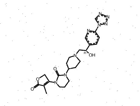 CC1=C(N2CCCN(C3CCN(C[C@H](O)c4ccc(-n5cnnn5)nc4)CC3)C2=O)COC1=O